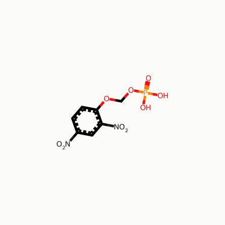 O=[N+]([O-])c1ccc(OCOP(=O)(O)O)c([N+](=O)[O-])c1